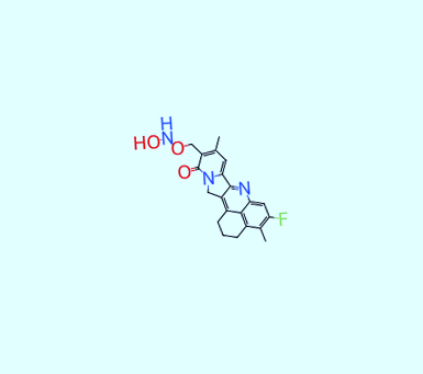 Cc1cc2n(c(=O)c1CONO)Cc1c-2nc2cc(F)c(C)c3c2c1CCC3